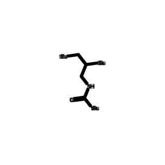 CC(C)(C)CC(CNC(=O)C(C)(C)C)C(C)(C)C